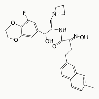 Cc1ccc2ccc(CC/C(=N\O)C(=O)N[C@H](CN3CCC3)[C@H](O)c3cc(F)c4c(c3)OCCO4)cc2c1